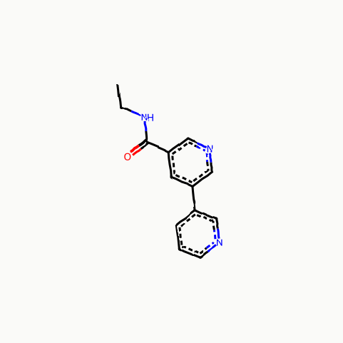 CCNC(=O)c1cncc(-c2cccnc2)c1